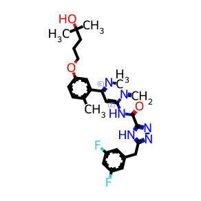 C=N/C(=C\C(=N/C)c1cc(OCCCC(C)(C)O)ccc1C)NC(=O)c1nnc(Cc2cc(F)cc(F)c2)[nH]1